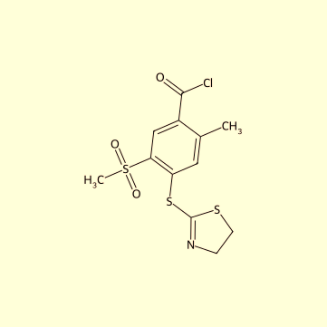 Cc1cc(SC2=NCCS2)c(S(C)(=O)=O)cc1C(=O)Cl